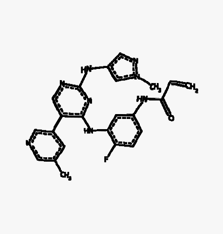 C=CC(=O)Nc1ccc(F)c(Nc2nc(Nc3cnn(C)c3)ncc2-c2cncc(C)c2)c1